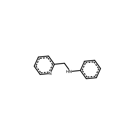 [c]1ccccc1NCc1ccccn1